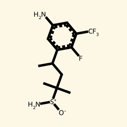 CC(CC(C)(C)[S+](N)[O-])c1cc(N)cc(C(F)(F)F)c1F